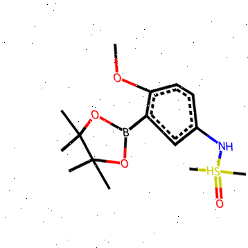 COc1ccc(N[SH](C)(C)=O)cc1B1OC(C)(C)C(C)(C)O1